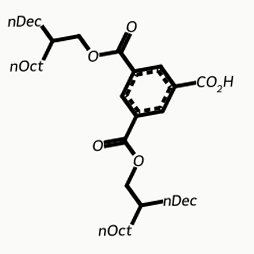 CCCCCCCCCCC(CCCCCCCC)COC(=O)c1cc(C(=O)O)cc(C(=O)OCC(CCCCCCCC)CCCCCCCCCC)c1